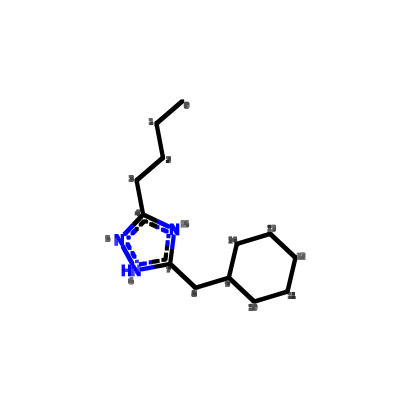 CCCCc1n[nH]c(CC2CCCCC2)n1